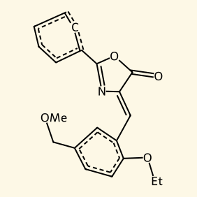 CCOc1ccc(COC)cc1C=C1N=C(c2ccccc2)OC1=O